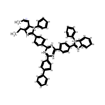 C/C=C\c1c(CC)nc(-c2ccc(-c3nc(-c4ccc(-c5ccccc5)cc4)nc(-c4ccc(-c5nc6ccccc6n5-c5ccccc5)cc4)n3)cc2)n1-c1ccccc1